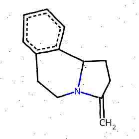 C=C1CCC2c3ccccc3CCN12